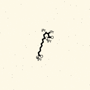 CC(C)OC(=O)CCCCCCCCCC(C(C)C)C(C(=O)OC(C)C)C(C)C